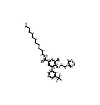 CCCCCCCCCCCCNC(=O)c1cc(Br)c(OCCn2cnnn2)c(-c2cccc(C(F)(F)F)c2)c1